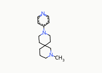 CN1CCCC2(CCN(c3ccncc3)CC2)C1